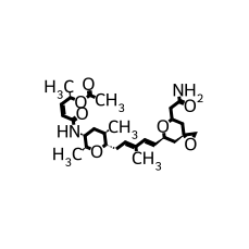 CC(=O)O[C@@H](C)/C=C\C(=O)N[C@@H]1C[C@H](C)[C@H](C/C=C(C)/C=C/[C@@H]2C[C@]3(CO3)CC(CC(N)=O)O2)O[C@@H]1C